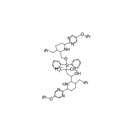 CC(C)CC1CCC(c2ncc(OC(C)C)cn2)NC1CO[Si](c1ccccc1)(c1ccccc1)C(C)(C)CC(O)C1NC(c2ncc(OC(C)C)cn2)CCC1CC(C)C